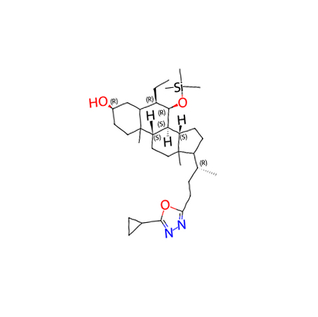 CC[C@@H]1C2C[C@H](O)CCC2(C)[C@H]2CCC3(C)C([C@H](C)CCc4nnc(C5CC5)o4)CC[C@H]3[C@@H]2[C@@H]1O[Si](C)(C)C